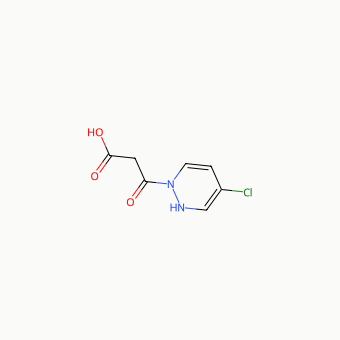 O=C(O)CC(=O)N1C=CC(Cl)=CN1